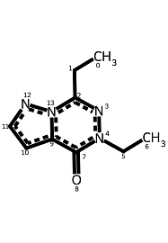 CCc1nn(CC)c(=O)c2ccnn12